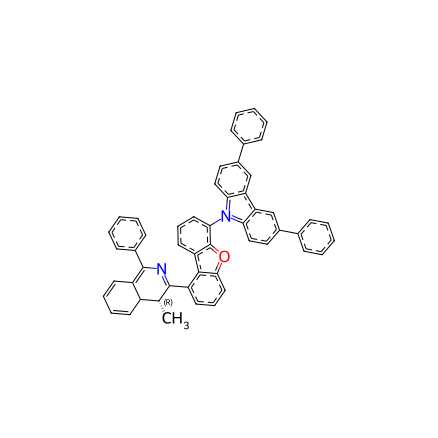 C[C@H]1C(c2cccc3oc4c(-n5c6ccc(-c7ccccc7)cc6c6cc(-c7ccccc7)ccc65)cccc4c23)=NC(c2ccccc2)=C2C=CC=CC21